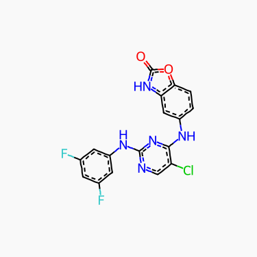 O=c1[nH]c2cc(Nc3nc(Nc4cc(F)cc(F)c4)ncc3Cl)ccc2o1